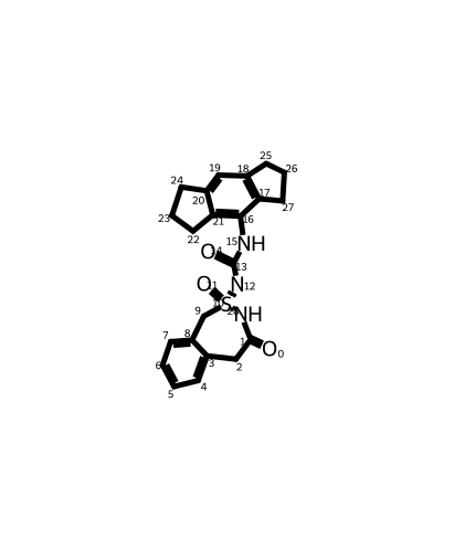 O=C1Cc2ccccc2CS(=O)(=NC(=O)Nc2c3c(cc4c2CCC4)CCC3)N1